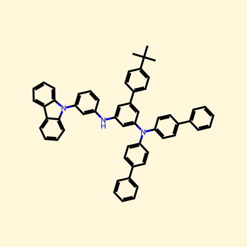 CC(C)(C)c1ccc(-c2cc(Nc3cccc(-n4c5ccccc5c5ccccc54)c3)cc(N(c3ccc(-c4ccccc4)cc3)c3ccc(-c4ccccc4)cc3)c2)cc1